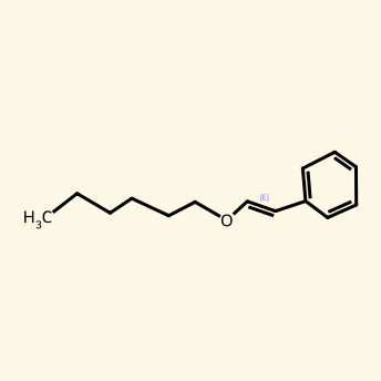 CCCCCCO/C=C/c1ccccc1